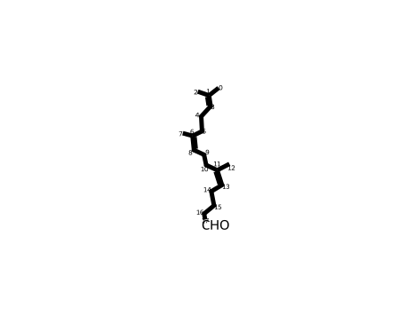 CC(C)=CCCC(C)=CCCC(C)=CCCCC=O